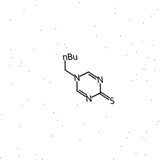 CCCCCn1cnc(=S)nc1